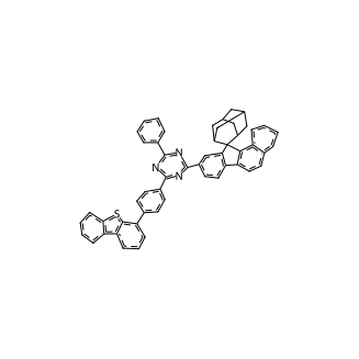 c1ccc(-c2nc(-c3ccc(-c4cccc5c4sc4ccccc45)cc3)nc(-c3ccc4c(c3)C3(c5c-4ccc4ccccc54)C4CC5CC(C4)CC3C5)n2)cc1